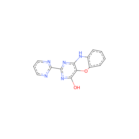 Oc1nc(-c2ncccn2)nc2c1Oc1ccccc1N2